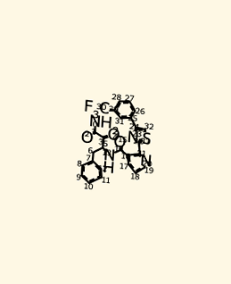 NC(=O)C(=O)C(Cc1ccccc1)NC(=O)c1cccnc1-c1nc(-c2cccc(C(F)(F)F)c2)cs1